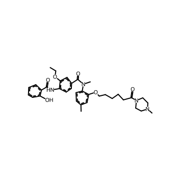 CCOc1cc(C(=O)N(C)c2ccc(C)cc2OCCCCCC(=O)N2CCN(C)CC2)ccc1NC(=O)c1ccccc1O